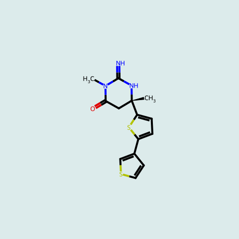 CN1C(=N)N[C@](C)(c2ccc(-c3ccsc3)s2)CC1=O